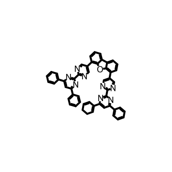 C1=CC(c2cc(-c3ccccc3)nc(-c3ncc(-c4cccc5c4oc4c(-c6cnc(-c7nc(-c8ccccc8)cc(-c8ccccc8)n7)nc6)cccc45)cn3)n2)=CCC1